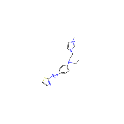 CCN(CCn1cc[n+](C)c1)c1ccc(/N=N/c2nccs2)cc1